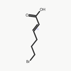 O=C(O)/C=C/CCCBr